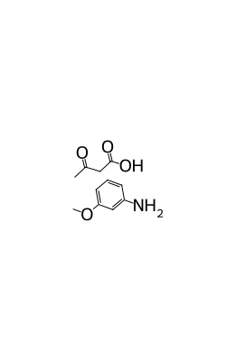 CC(=O)CC(=O)O.COc1cccc(N)c1